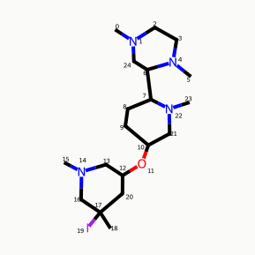 CN1CCN(C)C(C2CCC(OC3CN(C)CC(C)(I)C3)CN2C)C1